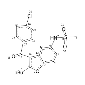 CCCCc1oc2ccc(NS(C)(=O)=O)cc2c1C(=O)c1ccc(Cl)cc1